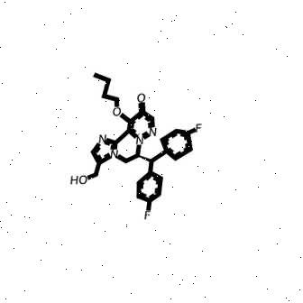 CCCCOc1c2n(ncc1=O)[C@@H](C(c1ccc(F)cc1)c1ccc(F)cc1)Cn1c(CO)cnc1-2